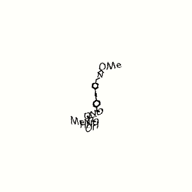 CNC(=O)[C@@](C)(C(=O)NO)N(C)C(=O)c1ccc(C#Cc2ccc(CCN3CC(OC)C3)cc2)cc1